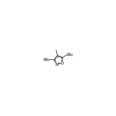 Cc1c(C(C)(C)C)noc1C(C)(C)C